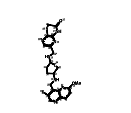 COc1ccc2ncc(F)c(CNC3CCC(NCc4cnc5c(n4)NC(=O)CS5)CC3)c2n1